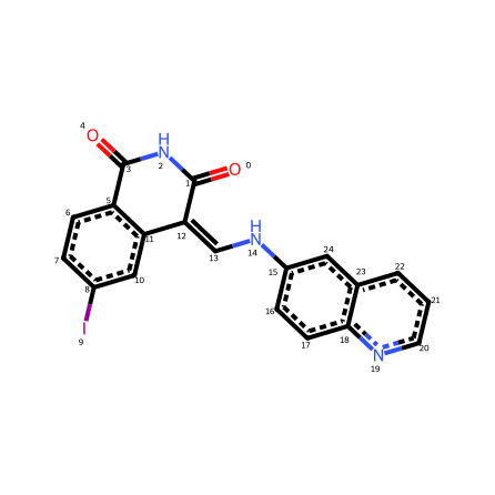 O=C1NC(=O)c2ccc(I)cc2C1=CNc1ccc2ncccc2c1